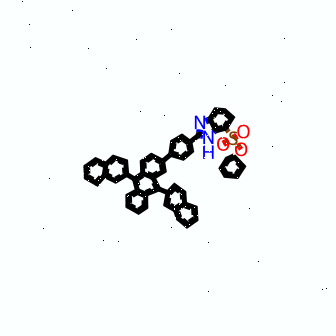 O=S(=O)(Oc1ccccc1)c1cccc2nc(-c3ccc(-c4ccc5c(-c6ccc7ccccc7c6)c6ccccc6c(-c6ccc7ccccc7c6)c5c4)cc3)[nH]c12